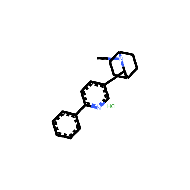 CN1C2CCC(CC2)C1c1ccc(-c2ccccc2)nc1.Cl